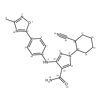 Cc1noc(-c2ccc(Nc3nn(C4CCCCC4C#N)cc3C(N)=O)cc2)n1